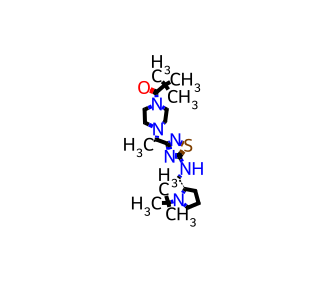 C[C@@H](c1nsc(NC[C@@H]2CCCN2C(C)(C)C)n1)N1CCN(C(=O)C(C)(C)C)CC1